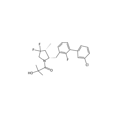 C[C@@H]1[C@H](Cc2cccc(-c3cccc(Cl)c3)c2F)N(C(=O)C(C)(C)O)CC1(F)F